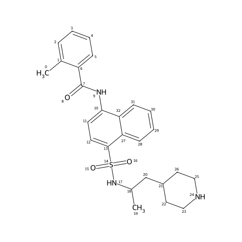 Cc1ccccc1C(=O)Nc1ccc(S(=O)(=O)NC(C)CC2CCNCC2)c2ccccc12